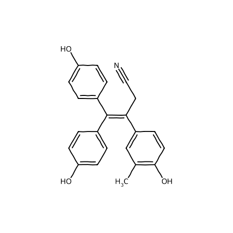 Cc1cc(C(CC#N)=C(c2ccc(O)cc2)c2ccc(O)cc2)ccc1O